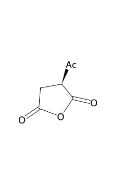 CC(=O)[C@@H]1CC(=O)OC1=O